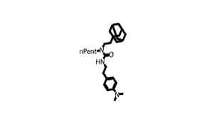 CCCCCN(CCC12CC3CC(CC(C3)C1)C2)C(=O)NCCc1ccc(N(C)C)cc1